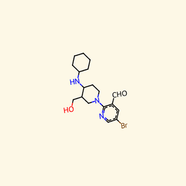 O=Cc1cc(Br)cnc1N1CCC(NC2CCCCC2)C(CO)C1